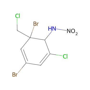 O=[N+]([O-])NC1C(Cl)=CC(Br)=CC1(Br)CCl